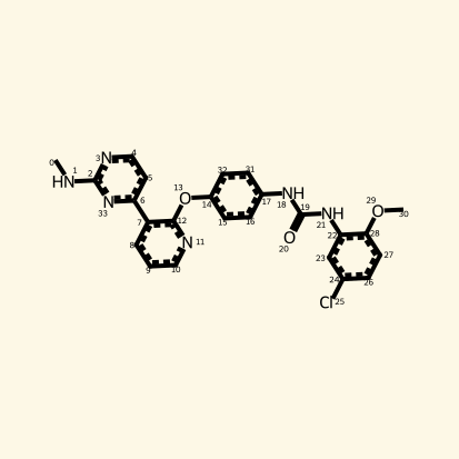 CNc1nccc(-c2cccnc2Oc2ccc(NC(=O)Nc3cc(Cl)ccc3OC)cc2)n1